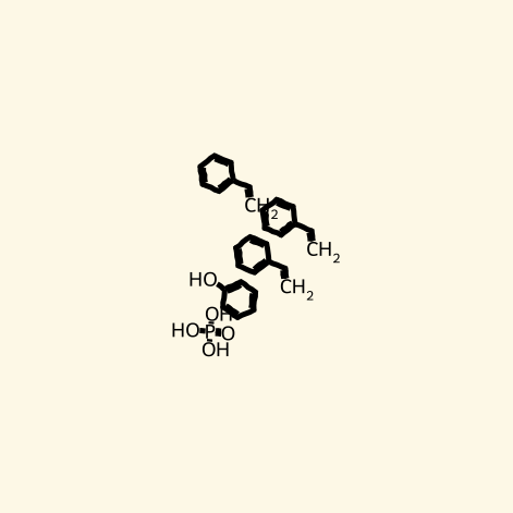 C=Cc1ccccc1.C=Cc1ccccc1.C=Cc1ccccc1.O=P(O)(O)O.Oc1ccccc1